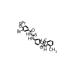 CCCOc1ccc(C(=O)NC(=S)Nc2ccc(S(=O)(=O)Nc3c(C)cccc3C)cc2)cc1Br